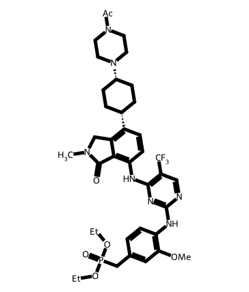 CCOP(=O)(Cc1ccc(Nc2ncc(C(F)(F)F)c(Nc3ccc([C@H]4CC[C@@H](N5CCN(C(C)=O)CC5)CC4)c4c3C(=O)N(C)C4)n2)c(OC)c1)OCC